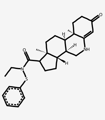 CCN(Sc1ccccc1)C(=O)C1CC[C@H]2[C@@H]3CNC4=CC(=O)CC[C@]4(C)[C@@H]3CC[C@]12C